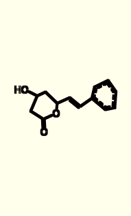 O=C1CC(O)CC(C=Cc2ccccc2)O1